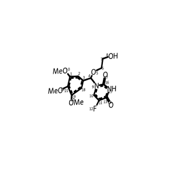 COc1cc(C(OCCO)n2cc(F)c(=O)[nH]c2=O)cc(OC)c1OC